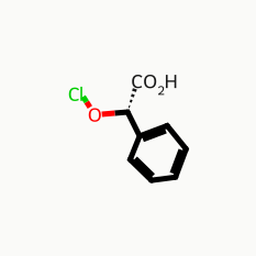 O=C(O)[C@@H](OCl)c1ccccc1